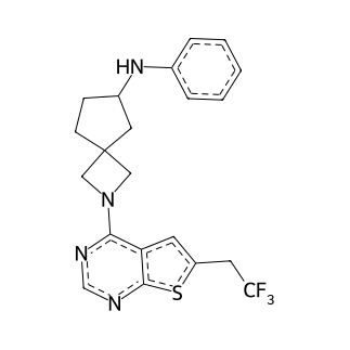 FC(F)(F)Cc1cc2c(N3CC4(CCC(Nc5ccccc5)C4)C3)ncnc2s1